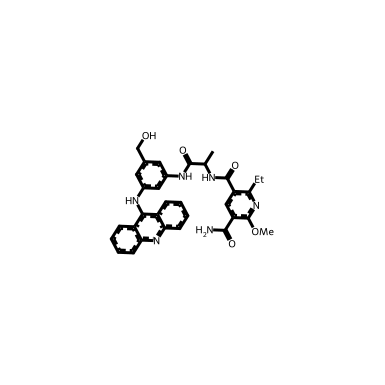 CCc1nc(OC)c(C(N)=O)cc1C(=O)NC(C)C(=O)Nc1cc(CO)cc(Nc2c3ccccc3nc3ccccc23)c1